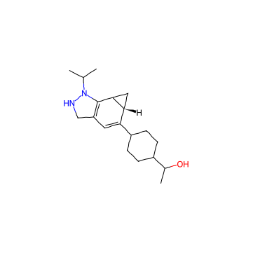 CC(O)C1CCC(C2=CC3=C(C4C[C@H]24)N(C(C)C)NC3)CC1